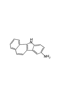 Nc1ccc2[nH]c3c4ccccc4ccc3c2c1